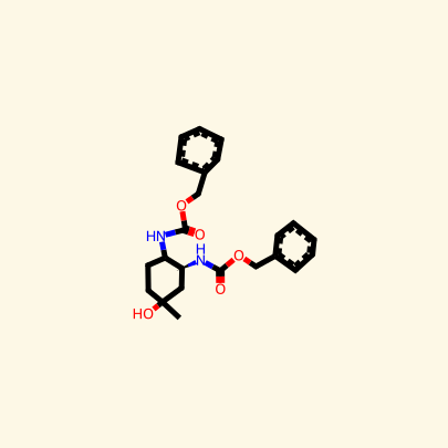 CC1(O)CCC(NC(=O)OCc2ccccc2)[C@@H](NC(=O)OCc2ccccc2)C1